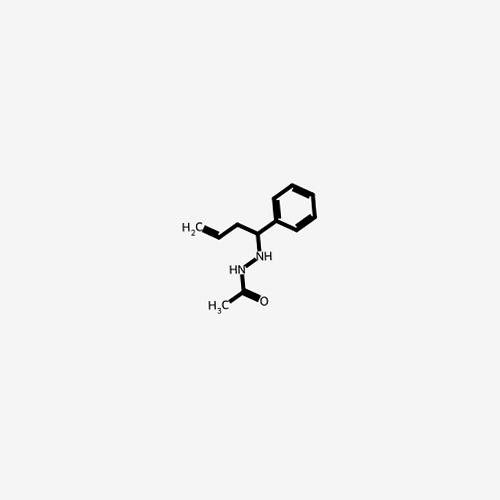 C=CCC(NNC(C)=O)c1ccccc1